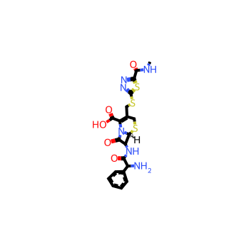 CNC(=O)c1nnc(SCC2=C(C(=O)O)N3C(=O)C(NC(=O)C(N)c4ccccc4)[C@@H]3SC2)s1